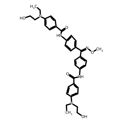 CCN(CCO)c1ccc(C(=O)Nc2ccc(C(=NOC)c3ccc(NC(=O)c4ccc(N(CC)CCO)cc4)cc3)cc2)cc1